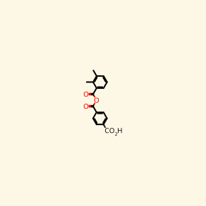 Cc1cccc(C(=O)OC(=O)c2ccc(C(=O)O)cc2)c1C